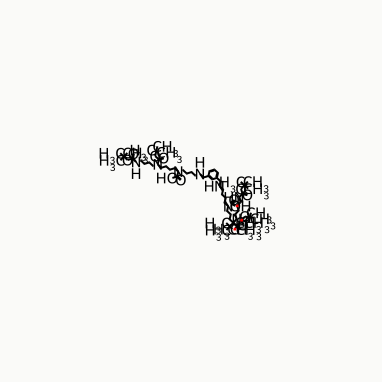 CC(C)(C)OC(=O)NCCCCN(CCCCN(CCCCNCc1cccc(CNCCCCN(CCCC(N(CCCCNC(=O)OC(C)(C)C)C(=O)OC(C)(C)C)(C(C)(C)C)C(C)(C)C)C(=O)O)c1)C(=O)O)C(=O)OC(C)(C)C